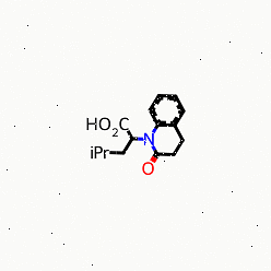 CC(C)CC(C(=O)O)N1C(=O)CCc2ccccc21